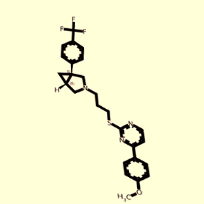 COc1ccc(-c2ccnc(SCCCN3C[C@@H]4C[C@]4(c4ccc(C(F)(F)F)cc4)C3)n2)cc1